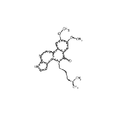 COc1cc2c(=O)n(CCCN(C)C)c3c4cc[nH]c4ncc3c2cc1OC